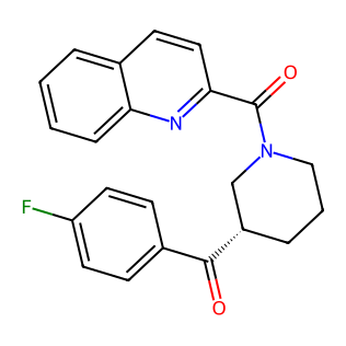 O=C(c1ccc(F)cc1)[C@H]1CCCN(C(=O)c2ccc3ccccc3n2)C1